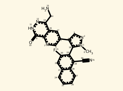 Cn1ncc(-c2cnc3c(=O)[nH]nc(CN)c3c2)c1-c1c(F)cc2ccccc2c1C#N